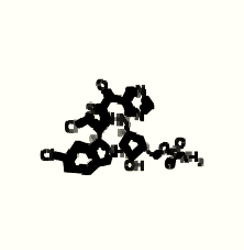 NS(=O)(=O)OC[C@H]1C[C@@H](Nc2ncncc2C(=O)c2cc([C@H]3NCc4ccc(Cl)cc43)c(Cl)s2)C[C@@H]1O